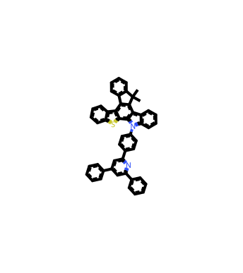 CC1(C)c2ccccc2-c2c1c1c3ccccc3n(-c3ccc(-c4cc(-c5ccccc5)cc(-c5ccccc5)n4)cc3)c1c1sc3ccccc3c21